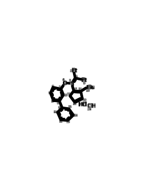 CC[C](CC)=[Ti]([O]c1cccc(-c2ccccc2)c1)[C]1=C(C(C)(C)C)C=CC1.Cl.Cl